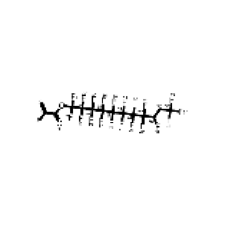 C=C(C)C(=O)OC(F)(F)C(F)(F)C(F)(F)C(F)(F)C(F)(F)C(F)(F)C(F)(F)C(F)(F)C(F)CC(F)(F)F